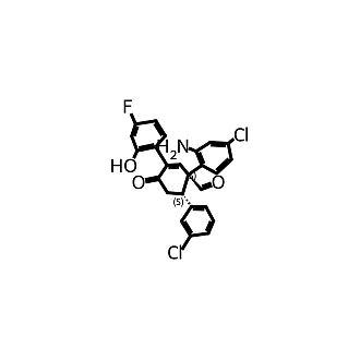 Nc1cc(Cl)ccc1[C@@]1(C=O)C=C(c2ccc(F)cc2O)C(=O)C[C@H]1c1cccc(Cl)c1